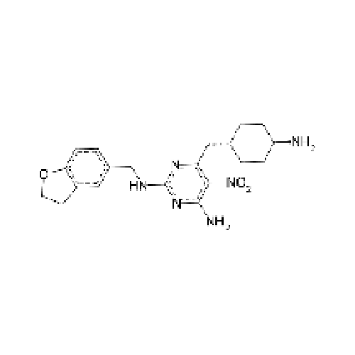 Nc1nc(NCc2ccc3c(c2)CCO3)nc(C[C@H]2CC[C@H](N)CC2)c1[N+](=O)[O-]